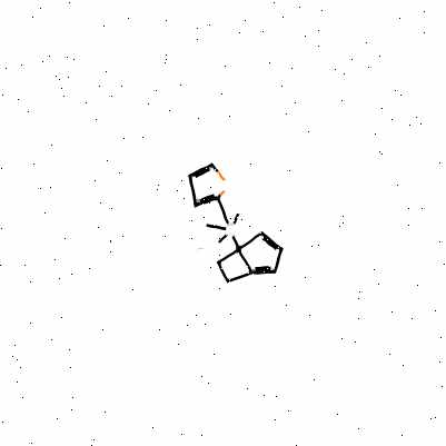 [CH3][Zr+2]([CH3])([CH3])([c]1ccc[pH]1)[C]12C=CC=C1CC2.[Cl-].[Cl-]